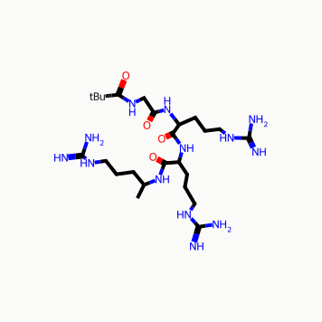 CC(CCCNC(=N)N)NC(=O)C(CCCNC(=N)N)NC(=O)C(CCCNC(=N)N)NC(=O)CNC(=O)C(C)(C)C